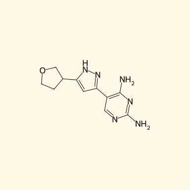 Nc1ncc(-c2cc(C3CCOC3)[nH]n2)c(N)n1